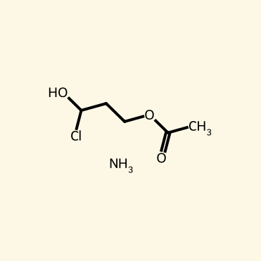 CC(=O)OCCC(O)Cl.N